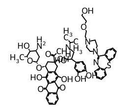 CC(=O)[C@]1(O)Cc2c(O)c3c(c(O)c2[C@@H](O[C@H]2C[C@H](N)[C@H](O)[C@H](C)O2)C1)C(=O)c1ccccc1C3=O.CC(C)NCC(O)c1ccc(O)c(O)c1.OCCOCCN1CCN(C2=Nc3ccccc3Sc3ccccc32)CC1